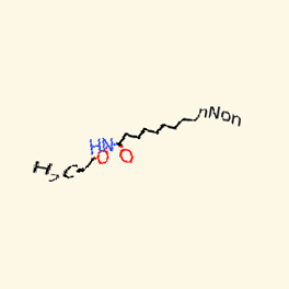 C=CCONC(=O)CCCCCCCCCCCCCCCCC